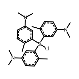 Cc1ccc(N(C)C)cc1[Si](Cl)(c1cc(N(C)C)ccc1C)c1cc(N(C)C)ccc1C